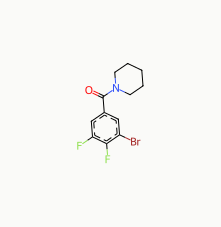 O=C(c1cc(F)c(F)c(Br)c1)N1CCCCC1